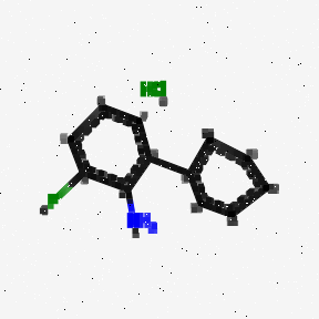 Cl.Nc1c(F)cccc1-c1ccccc1